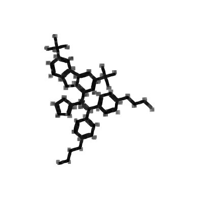 CCCCc1ccc([C](c2ccc(CCCC)cc2)=[Zr]([C]2=CC=CC2)[c]2cc(C(C)(C)C)cc3c2Cc2ccc(C(C)(C)C)cc2-3)cc1